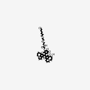 O=C(CSc1c(Cl)c(Cl)c(C(=O)O)c(C2=c3cc4c5c(c3Oc3c2cc2c6c3CCCN6CCCC2)CCC[N+]=5CCCC4)c1Cl)NCCOCCOCCCCCCCl